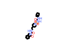 O=C(NC1CC2CCC1C2)NS(=O)(=O)N1CCC(CCNC(=O)N2Cc3ccccc3C2=O)CC1